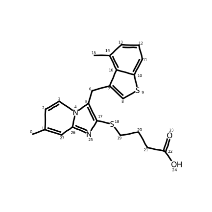 Cc1ccn2c(Cc3csc4cccc(C)c34)c(SCCCC(=O)O)nc2c1